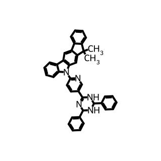 CC1(C)c2ccccc2-c2cc3c4ccccc4n(-c4ccc(C5=NC(c6ccccc6)NC(c6ccccc6)N5)cn4)c3cc21